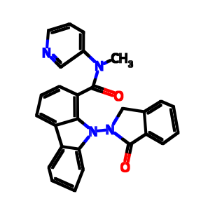 CN(C(=O)c1cccc2c3ccccc3n(N3Cc4ccccc4C3=O)c12)c1cccnc1